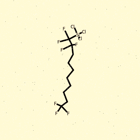 FC(F)(F)CCCCCCCC(F)(F)C(F)(F)[Si](Cl)(Cl)Cl